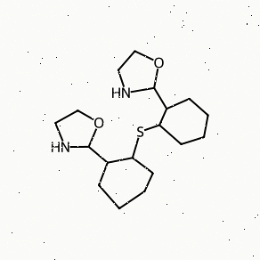 C1CCC(C2NCCO2)C(SC2CCCCC2C2NCCO2)C1